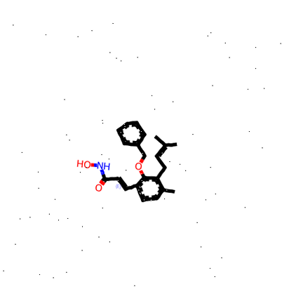 CC(C)=CCc1c(C)ccc(/C=C/C(=O)NO)c1OCc1ccccc1